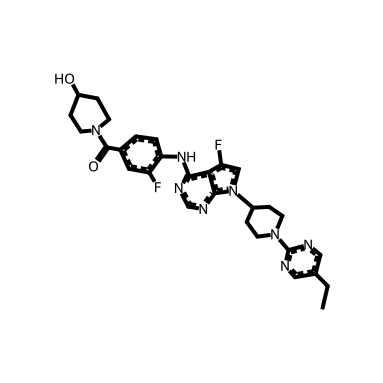 CCc1cnc(N2CCC(n3cc(F)c4c(Nc5ccc(C(=O)N6CCC(O)CC6)cc5F)ncnc43)CC2)nc1